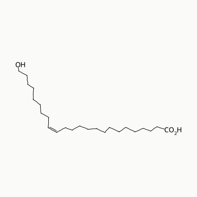 O=C(O)CCCCCCCCCCCCC/C=C\CCCCCCCCO